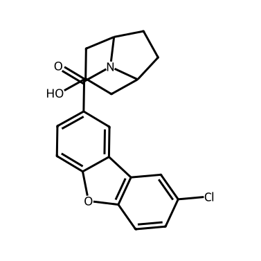 O=C(c1ccc2oc3ccc(Cl)cc3c2c1)N1C2CCC1CC(O)C2